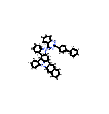 c1ccc(-c2ccc(-c3nc(-n4c5ccccc5c5c6c7ccccc7n7c8cc9ccccc9cc8c(cc54)c67)c4ccccc4n3)cc2)cc1